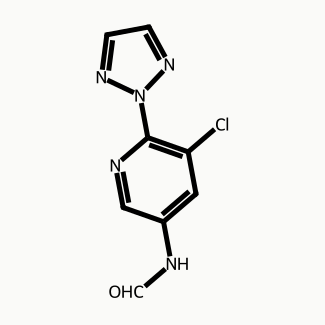 O=CNc1cnc(-n2nccn2)c(Cl)c1